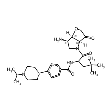 CC(C)N1CCN(c2ccc(C(=O)NC(CC(C)(C)C)C(=O)N3C[C@@H](N)[C@H]4OCC(=O)[C@H]43)cc2)CC1